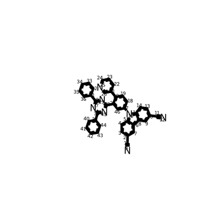 N#Cc1ccc2c(c1)c1cc(C#N)ccc1n2-c1ccc(-c2cccnc2)c(-c2nc(-c3ccccc3)nc(-c3ccccc3)n2)c1